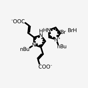 Br.Br.CCCC[n+]1c(C=CC(=O)[O-])c[nH]c1C=CC(=O)[O-].CCCC[n+]1cc[nH]c1